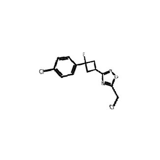 FC1(c2ccc(Cl)cc2)CC(c2noc(CCl)n2)C1